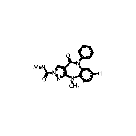 CNC(=O)n1cc2c(n1)N(C)c1ccc(Cl)cc1N(c1ccccc1)C2=O